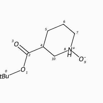 CC(C)(C)OC(=O)C1CCC[NH+]([O-])C1